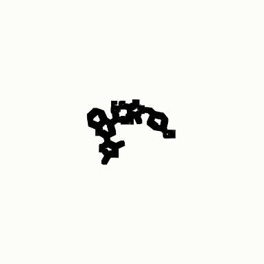 Cc1nc(C)c(-c2cc(C(=O)Nc3c(C(F)(F)F)nn(Cc4ccc(C#N)cc4)c3C)c3ccccc3n2)s1